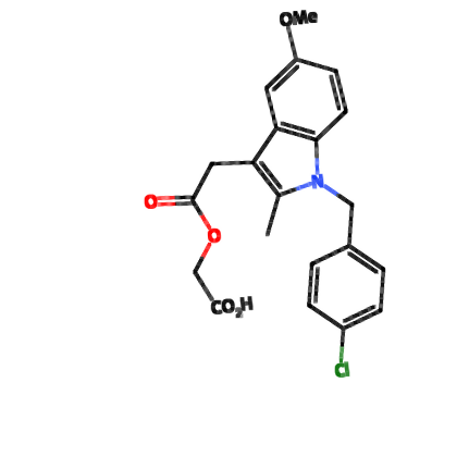 COc1ccc2c(c1)c(CC(=O)OCC(=O)O)c(C)n2Cc1ccc(Cl)cc1